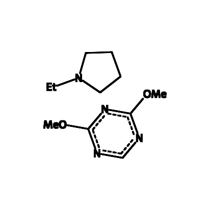 CCN1CCCC1.COc1ncnc(OC)n1